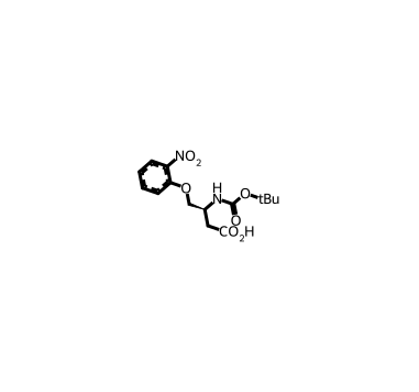 CC(C)(C)OC(=O)N[C@H](COc1ccccc1[N+](=O)[O-])CC(=O)O